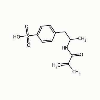 C=C(C)C(=O)NC(C)Cc1ccc(S(=O)(=O)O)cc1